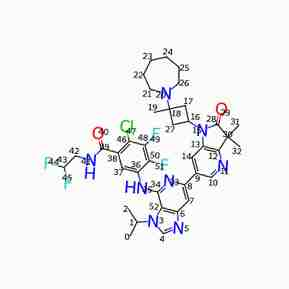 CC(C)n1cnc2cc(-c3cnc4c(c3)N(C3CC(C)(N5CCCCCC5)C3)C(=O)C4(C)C)nc(Nc3cc(C(=O)NCC(F)F)c(Cl)c(F)c3F)c21